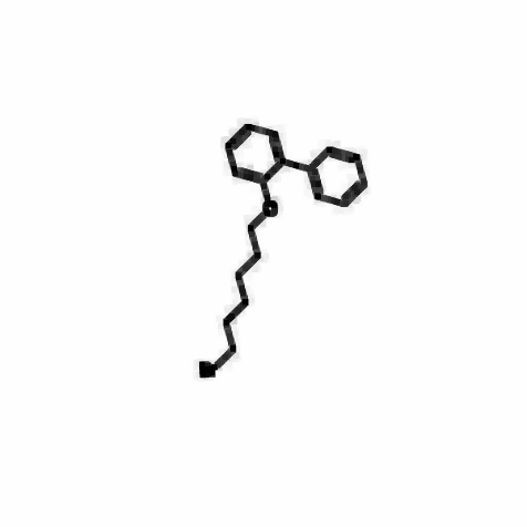 BrCCCCCCOc1ccccc1-c1ccccc1